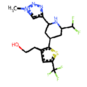 Cn1cc(C2CC(c3sc(C(F)(F)F)cc3CCO)CC(C(F)F)N2)nn1